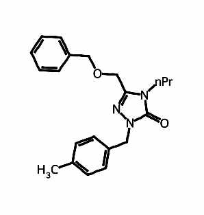 CCCn1c(COCc2ccccc2)nn(Cc2ccc(C)cc2)c1=O